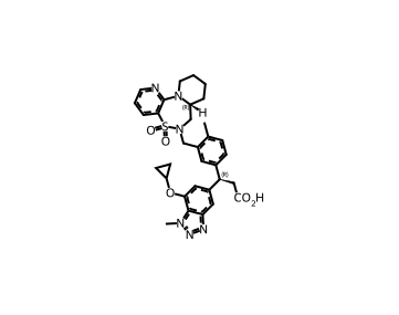 Cc1ccc([C@@H](CC(=O)O)c2cc(OC3CC3)c3c(c2)nnn3C)cc1CN1C[C@H]2CCCCN2c2ncccc2S1(=O)=O